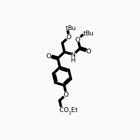 CCOC(=O)COc1ccc(C(=O)C(COC(C)(C)C)NC(=O)OC(C)(C)C)cc1